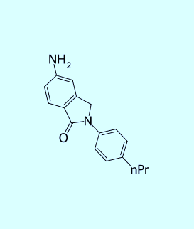 CCCc1ccc(N2Cc3cc(N)ccc3C2=O)cc1